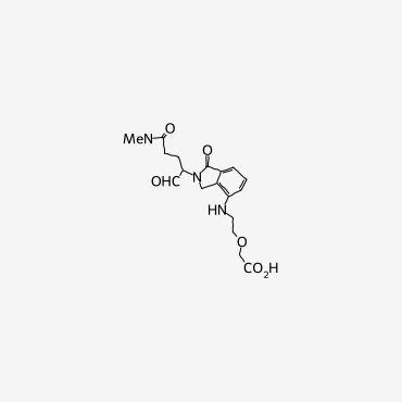 CNC(=O)CCC(C=O)N1Cc2c(NCCOCC(=O)O)cccc2C1=O